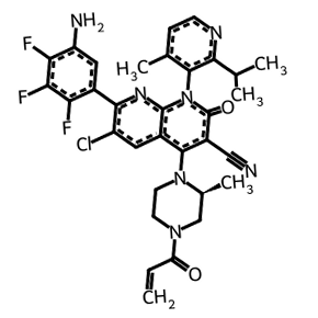 C=CC(=O)N1CCN(c2c(C#N)c(=O)n(-c3c(C)ccnc3C(C)C)c3nc(-c4cc(N)c(F)c(F)c4F)c(Cl)cc23)[C@@H](C)C1